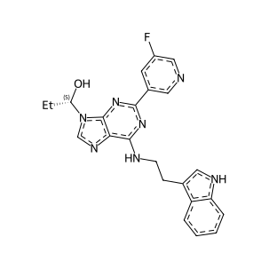 CC[C@H](O)n1cnc2c(NCCc3c[nH]c4ccccc34)nc(-c3cncc(F)c3)nc21